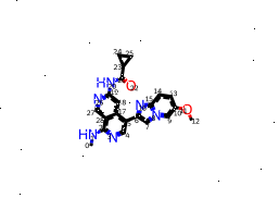 CNc1ncc(-c2cn3cc(OC)ccc3n2)c2cc(NC(=O)C3CC3)ncc12